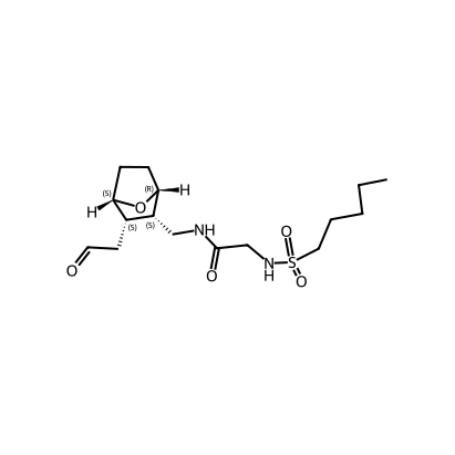 CCCCCS(=O)(=O)NCC(=O)NC[C@@H]1[C@H](CC=O)[C@@H]2CC[C@H]1O2